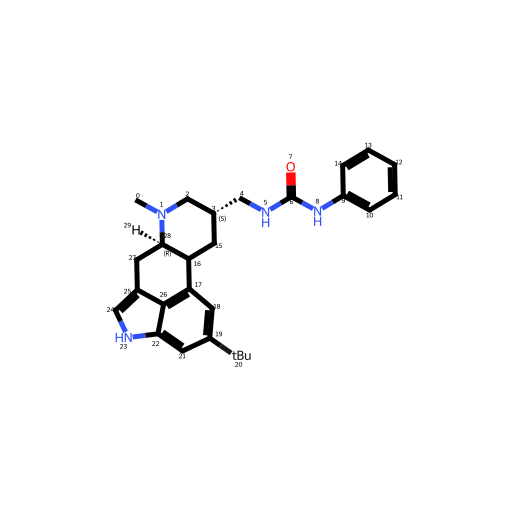 CN1C[C@H](CNC(=O)Nc2ccccc2)CC2c3cc(C(C)(C)C)cc4[nH]cc(c34)C[C@H]21